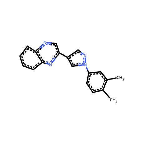 Cc1ccc(-n2cc(-c3cnc4ccccc4n3)cn2)cc1C